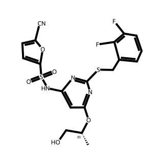 C[C@H](CO)Oc1cc(NS(=O)(=O)c2ccc(C#N)o2)nc(SCc2cccc(F)c2F)n1